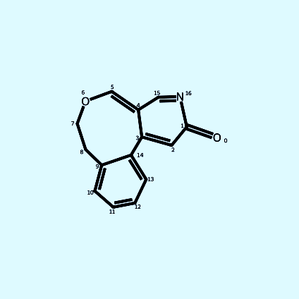 O=C1C=C2C(=COCCc3ccccc32)C=N1